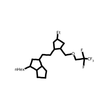 CCCCCCC1CC(CCC2CC(CC)CC2COCC(F)(F)C(F)(F)F)C2CCCC12